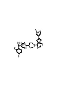 Cn1cc(-c2cc3c(N4CC=C(c5ncc([C@](C)(N)c6ccc(F)cc6F)cn5)CC4)ncnn3c2)cn1